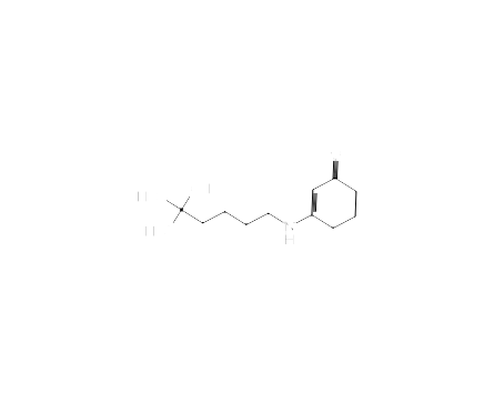 CC(C)(C)CCCCNC1=CC(=O)CCC1